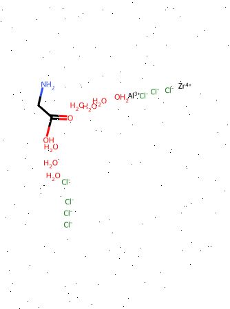 NCC(=O)O.O.O.O.O.O.O.O.[Al+3].[Cl-].[Cl-].[Cl-].[Cl-].[Cl-].[Cl-].[Cl-].[Zr+4]